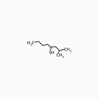 CCCCN(S)CC(C)C